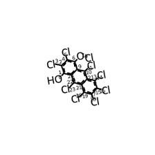 Oc1c(Cl)c(Cl)c(OCl)c2c(Cl)c3c(Cl)c(Cl)c(Cl)c(Cl)c3c(Cl)c12